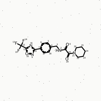 O=C(NCc1ccc(-c2noc(C(F)(F)F)n2)cc1)C(=O)N1CCCCC1